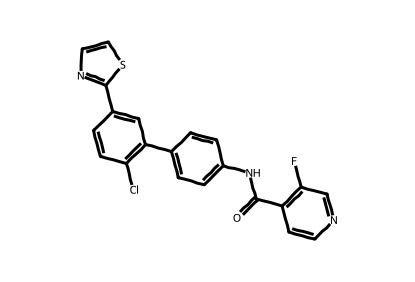 O=C(Nc1ccc(-c2cc(-c3nccs3)ccc2Cl)cc1)c1ccncc1F